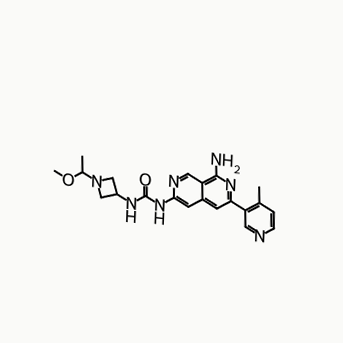 COC(C)N1CC(NC(=O)Nc2cc3cc(-c4cnccc4C)nc(N)c3cn2)C1